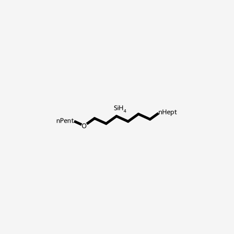 CCCCCCCCCCCCCOCCCCC.[SiH4]